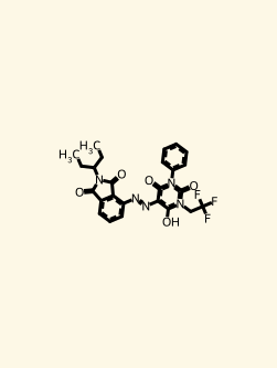 CCC(CC)N1C(=O)c2cccc(N=Nc3c(O)n(CC(F)(F)F)c(=O)n(-c4ccccc4)c3=O)c2C1=O